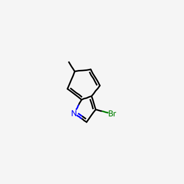 CC1C=CC2=C(Br)C=NC2=C1